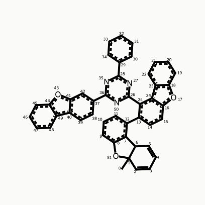 CC12C=CC=CC1c1c(cccc1-c1ccc3oc4ccccc4c3c1-c1nc(-c3ccccc3)nc(-c3ccc4c(c3)oc3ccccc34)n1)O2